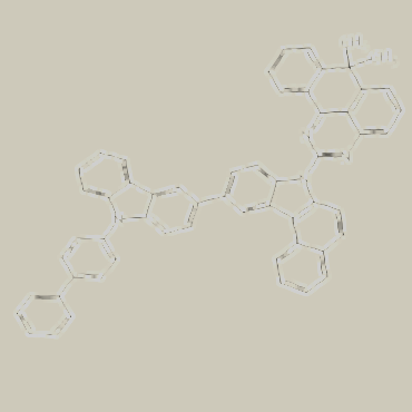 CC1(C)c2ccccc2-c2nc(-n3c4ccc(-c5ccc6c(c5)c5ccccc5n6-c5ccc(-c6ccccc6)cc5)cc4c4c5ccccc5ccc43)nc3cccc1c23